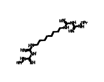 CCCNC(=N)NC(=N)NCCCCCCCCNC(=N)NC(=N)NCCC